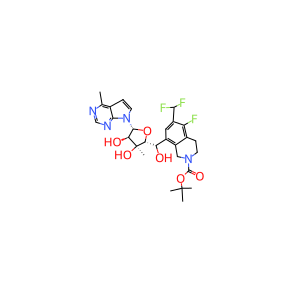 Cc1ncnc2c1ccn2[C@@H]1O[C@H](C(O)c2cc(C(F)F)c(F)c3c2CN(C(=O)OC(C)(C)C)CC3)[C@@](C)(O)[C@H]1O